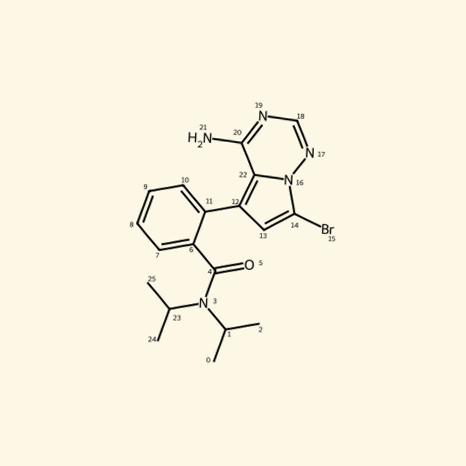 CC(C)N(C(=O)c1ccccc1-c1cc(Br)n2ncnc(N)c12)C(C)C